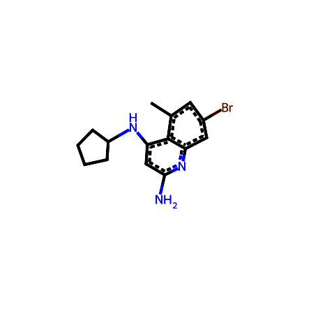 Cc1cc(Br)cc2nc(N)cc(NC3CCCC3)c12